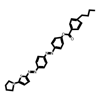 CCCCc1ccc(C(=O)Oc2ccc(N=Nc3ccc(N=Nc4ccc(N5CCCC5)s4)cc3)cc2)cc1